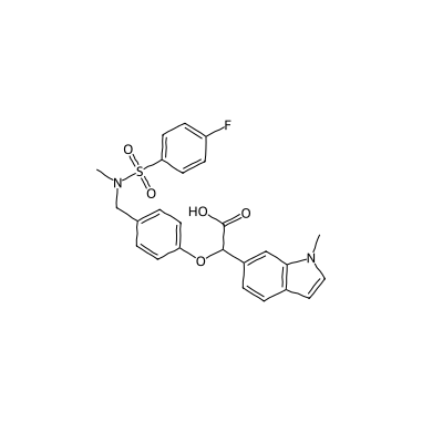 CN(Cc1ccc(OC(C(=O)O)c2ccc3ccn(C)c3c2)cc1)S(=O)(=O)c1ccc(F)cc1